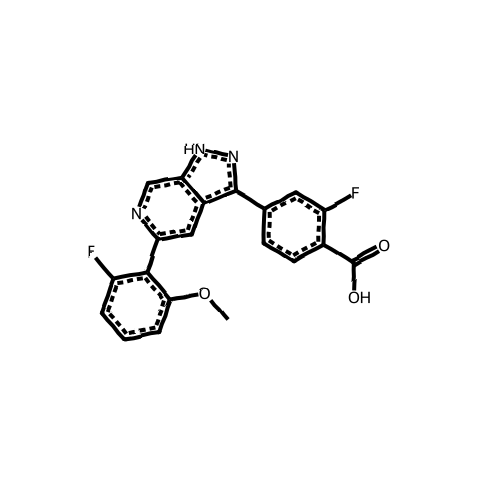 COc1cccc(F)c1-c1cc2c(-c3ccc(C(=O)O)c(F)c3)n[nH]c2cn1